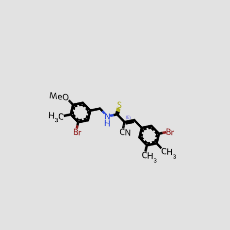 COc1cc(CNC(=S)/C(C#N)=C/c2cc(C)c(C)c(Br)c2)cc(Br)c1C